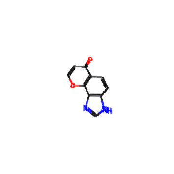 O=c1ccoc2c1ccc1[nH]cnc12